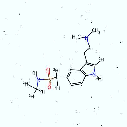 [2H]c1c(CCN(C)C)c2cc(C([2H])([2H])S(=O)(=O)N([2H])C([2H])([2H])[2H])ccc2n1[2H]